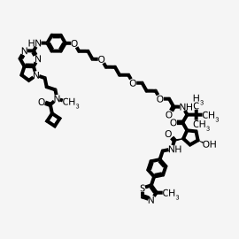 Cc1ncsc1-c1ccc(CNC(=O)[C@@H]2C[C@@H](O)CC2C(=O)C(NC(=O)COCCCOCCCCOCCCOc2ccc(Nc3ncc4c(n3)N(CCCN(C)C(=O)C3CCC3)CC4)cc2)C(C)(C)C)cc1